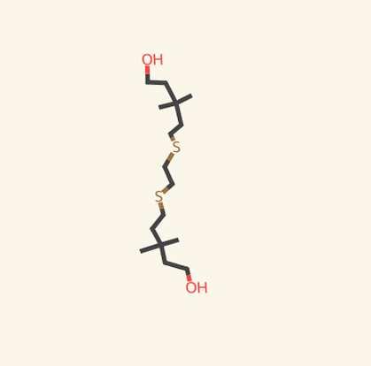 CC(C)(CCO)CCSCCSCCC(C)(C)CCO